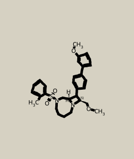 COC[C@@H]1C(c2ccc(-c3cccc(OC)c3)cc2)[C@@H]2CN(S(=O)(=O)c3ccccc3C)CCCCN12